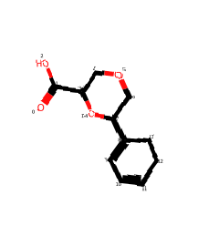 O=C(O)C1COCC(C2=CC=CCC2)O1